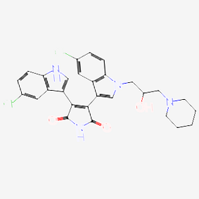 O=C1NC(=O)C(c2cn(CC(O)CN3CCCCC3)c3ccc(Cl)cc23)=C1c1c[nH]c2ccc(Cl)cc12